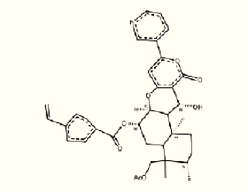 C=Cc1ccc(C(=O)O[C@H]2CC3C(C)(COC(C)=O)[C@@H](C)CC[C@]3(C)C3[C@@H](O)c4c(cc(-c5cccnc5)oc4=O)O[C@@]32C)cc1